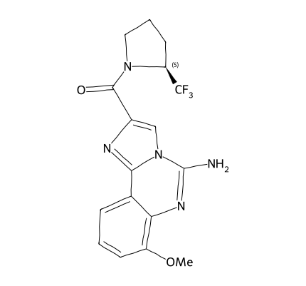 COc1cccc2c1nc(N)n1cc(C(=O)N3CCC[C@H]3C(F)(F)F)nc21